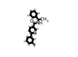 CC(NC(=O)c1ccc(-c2cccc(F)c2)nc1)c1ccccc1